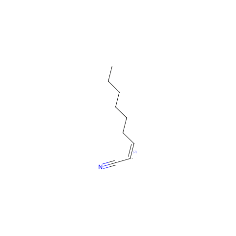 CCCCCC/C=[C]\C#N